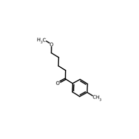 COCCCCC(=O)c1ccc(C)cc1